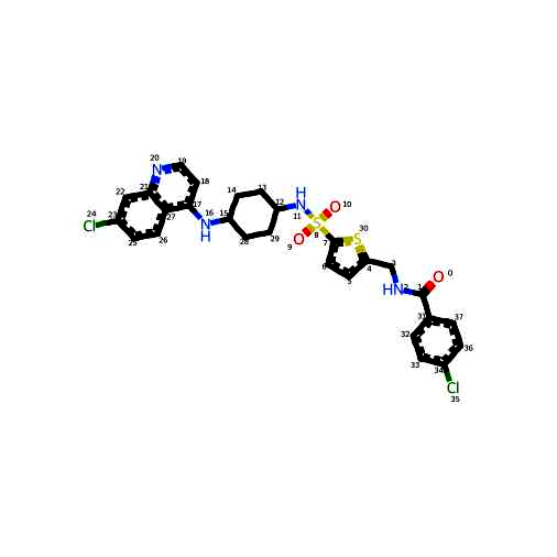 O=C(NCc1ccc(S(=O)(=O)NC2CCC(Nc3ccnc4cc(Cl)ccc34)CC2)s1)c1ccc(Cl)cc1